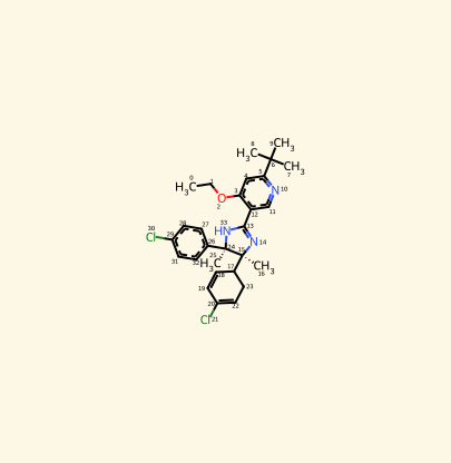 CCOc1cc(C(C)(C)C)ncc1C1=N[C@@](C)(C2C=CC(Cl)=CC2)[C@@](C)(c2ccc(Cl)cc2)N1